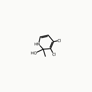 CC1(O)NC=CC(Cl)=C1Cl